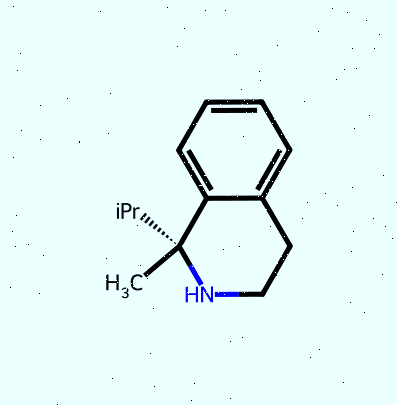 CC(C)[C@@]1(C)NCCc2ccccc21